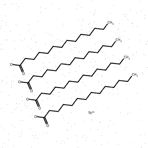 CCCCCCCCCCCCCC(=O)[O-].CCCCCCCCCCCCCC(=O)[O-].CCCCCCCCCCCCCC(=O)[O-].CCCCCCCCCCCCCC(=O)[O-].[Th+4]